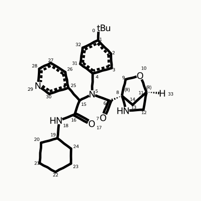 CC(C)(C)c1ccc(N(C(=O)[C@@]23CO[C@@H](CN2)C3)C(C(=O)NC2CCCCC2)c2cccnc2)cc1